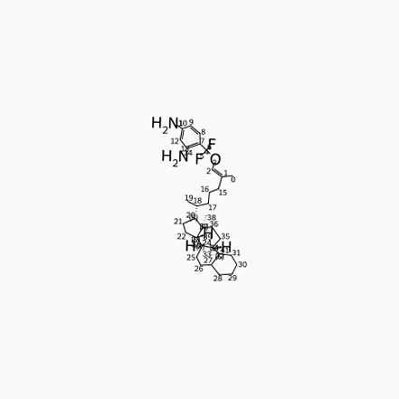 CC(=COC(F)(F)c1ccc(N)cc1N)CCCC(C)[C@H]1CC[C@H]2[C@@H]3CCC4CCCC[C@]4(C)[C@H]3CC[C@]12C